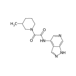 CC1CCCN(C(=O)C(=O)Nc2cncc3[nH]ncc23)C1